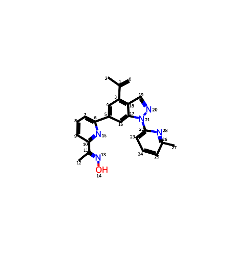 C=C(C)c1cc(-c2cccc(C(C)=NO)n2)cc2c1cnn2-c1cccc(C)n1